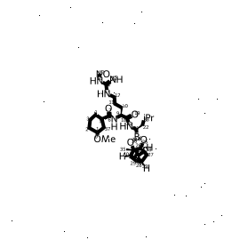 COC1CCCC(C(=O)N[C@@H](CCCNC(=N)N[N+](=O)[O-])C(=O)N[C@@H](CC(C)C)B2O[C@@H]3C[C@@H]4C[C@@H](C4(C)C)[C@]3(C)O2)C1